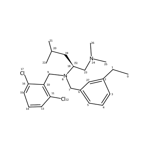 CCc1cccc(CN(Cc2c(Cl)cccc2Cl)[C@@H](CC(C)C)CN(C)C)c1